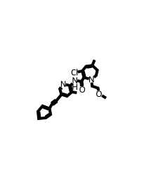 COCCN1CCC(C)=CC(Cl)=C1C(=O)Nc1ncc(C#Cc2ccccc2)cc1C